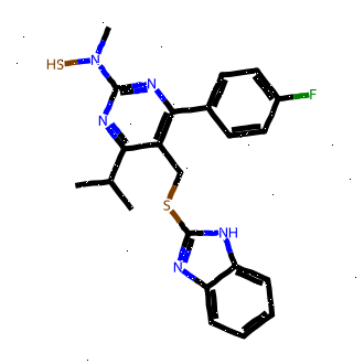 CC(C)c1nc(N(C)S)nc(-c2ccc(F)cc2)c1CSc1nc2ccccc2[nH]1